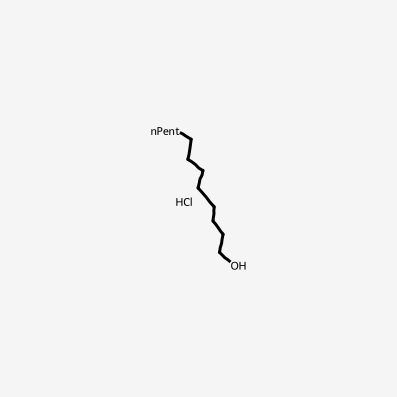 CCCCCCCCCCCCCO.Cl